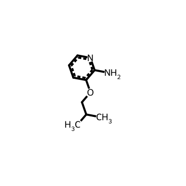 CC(C)COc1cccnc1N